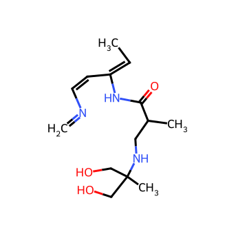 C=N/C=C\C(=C/C)NC(=O)C(C)CNC(C)(CO)CO